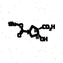 CC(C)(C)OC(=O)N1C[C@@H](O)[C@@H](C(=O)O)C1